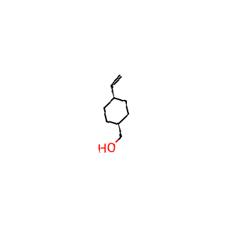 C=C[C@H]1CC[C@@H](CO)CC1